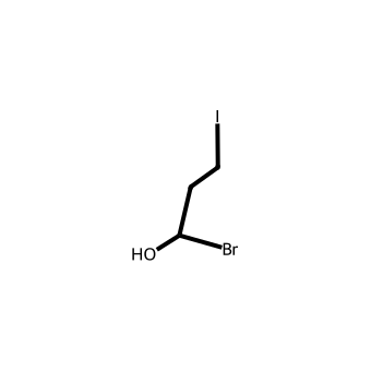 OC(Br)CCI